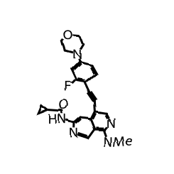 CNc1ncc(C#Cc2ccc(N3CCOCC3)cc2F)c2cc(NC(=O)C3CC3)ncc12